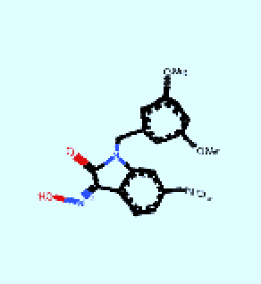 COc1cc(CN2C(=O)/C(=N\O)c3ccc([N+](=O)[O-])cc32)cc(OC)c1